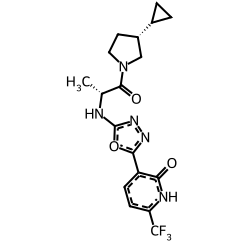 C[C@@H](Nc1nnc(-c2ccc(C(F)(F)F)[nH]c2=O)o1)C(=O)N1CC[C@H](C2CC2)C1